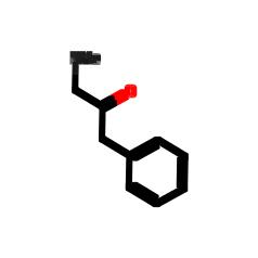 CNCC(=O)Cc1ccccc1